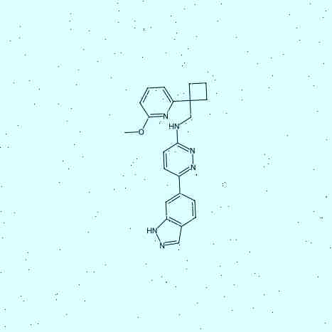 COc1cccc(C2(CNc3ccc(-c4ccc5cn[nH]c5c4)nn3)CCC2)n1